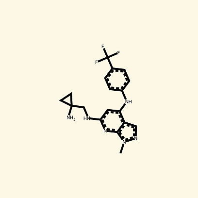 Cn1ncc2c(Nc3ccc(C(F)(F)F)cc3)cc(NCC3(N)CC3)nc21